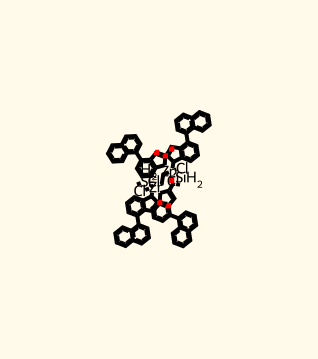 C[SiH2][Zr]([Cl])([Cl])([CH2][CH2][Zr]([Cl])([Cl])([SiH2]C)([CH]1C(C)=Cc2c(-c3cccc4ccccc34)cccc21)[CH]1C(C)=Cc2c(-c3cccc4ccccc34)cccc21)([CH]1C(C)=Cc2c(-c3cccc4ccccc34)cccc21)[CH]1C(C)=Cc2c(-c3cccc4ccccc34)cccc21